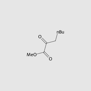 CCCCCC(=O)C(=O)OC